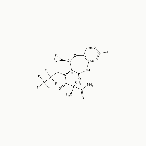 CC(C)(C(N)=O)C(=O)N(CC(F)(F)C(F)(F)F)[C@@H]1C(=O)Nc2cc(F)ccc2O[C@@H]1C1CC1